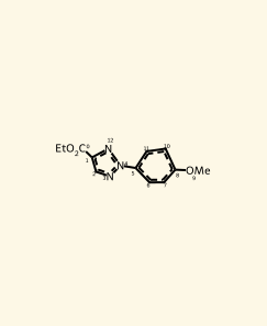 CCOC(=O)c1cnn(-c2ccc(OC)cc2)n1